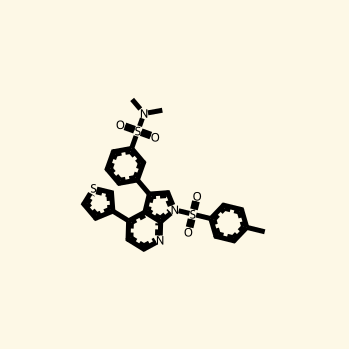 Cc1ccc(S(=O)(=O)n2cc(-c3cccc(S(=O)(=O)N(C)C)c3)c3c(-c4ccsc4)ccnc32)cc1